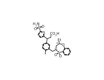 CC[C@@H]1CN(Cc2cc(C(CC(=O)O)c3ccc(S(N)(=O)=O)s3)ccc2C)S(=O)(=O)c2ccccc2O1